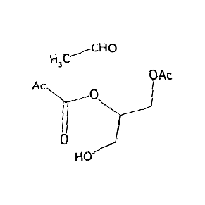 CC(=O)OCC(CO)OC(=O)C(C)=O.CC=O